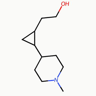 CN1CCC(C2CC2CCO)CC1